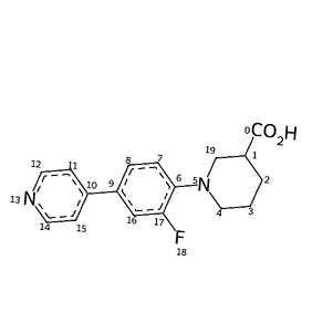 O=C(O)C1CCCN(c2ccc(-c3ccncc3)cc2F)C1